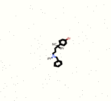 CC(C)N(CCCC(C#N)(c1ccc(Br)cc1)C(C)C)Cc1ccccc1